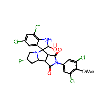 COc1c(Cl)cc(N2C(=O)C3C4C[C@H](F)CN4C4(c5cc(Cl)cc(Cl)c5NC4O)C3C2=O)cc1Cl